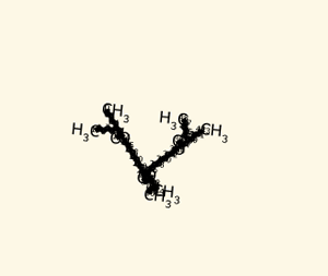 CCCCCC(CCCCC)CC(=O)OCCCCCCCCCC1(CCCCCCCCCOC(=O)CC(CCCCC)CCCCC)OCC(CN(C)CC)O1